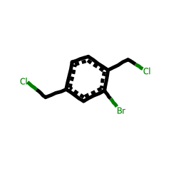 ClCc1ccc(CCl)c(Br)c1